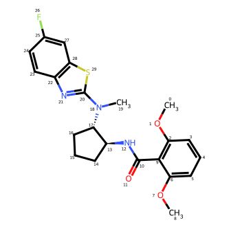 COc1cccc(OC)c1C(=O)N[C@H]1CCC[C@@H]1N(C)c1nc2ccc(F)cc2s1